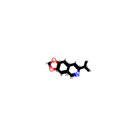 CC(C)c1cc2cc3c(cc2cn1)OCO3